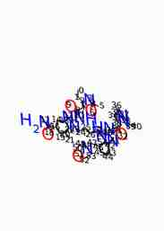 CCc1nc(C)oc1C(=O)Nc1nc2cc(C(N)=O)cc(C)c2n1CC=CCn1c(NC(=O)c2cc(C)nn2CC)nc2cccc(CN3CCOCC3)c21